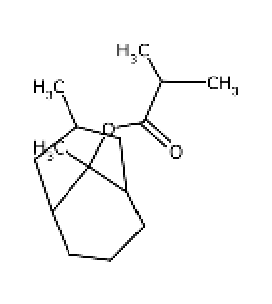 CC1CC2CCCC(C1)C2(C)OC(=O)C(C)C